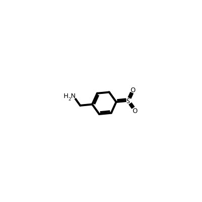 NCC1=CCC(=S(=O)=O)C=C1